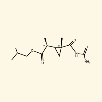 CC(C)COC(=O)[C@@H](C)C1C[C@@]1(C)C(=O)NC(N)=O